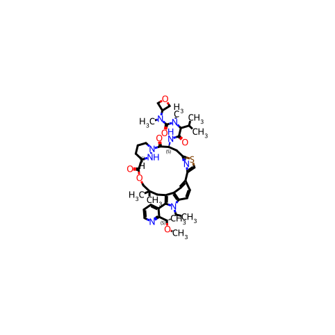 CCn1c(-c2cccnc2[C@H](C)OC)c2c3cc(ccc31)-c1csc(n1)C[C@H](NC(=O)C(C(C)C)N(C)C(=O)N(C)C1COC1)C(=O)N1CCC[C@H](N1)C(=O)OCC(C)(C)C2